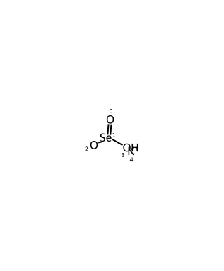 O=[Se]([O-])O.[K+]